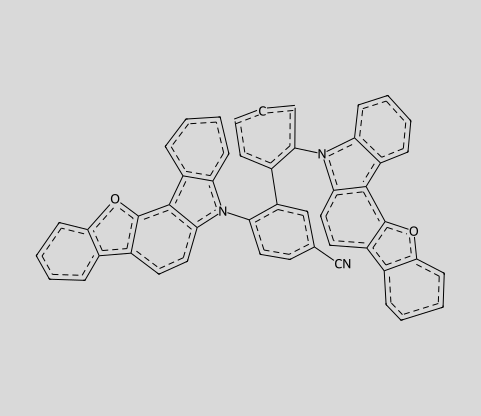 N#Cc1ccc(-n2c3ccccc3c3c4oc5ccccc5c4ccc32)c(-c2ccccc2-n2c3ccccc3c3c4oc5ccccc5c4ccc32)c1